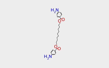 Nc1ccc(C(=O)OCCCCCCCCCCCOC(=O)c2ccc(N)cc2)cc1